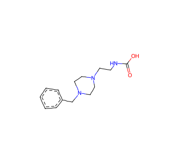 O=C(O)NCCN1CCN(Cc2ccccc2)CC1